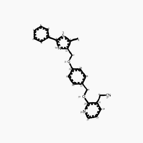 Cc1sc(-c2ccccc2)nc1COc1ccc(COc2ncccc2CC#N)cc1